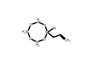 C=CC[Si]1(CC)O[SiH2]O[SiH2]O[SiH2]O1